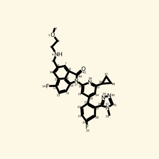 COCCNCc1cc2c3c(ccc(F)c3c1)N(c1cc(-c3ccc(F)cc3-c3nncn3C)cc(C3CC3)n1)C2=O